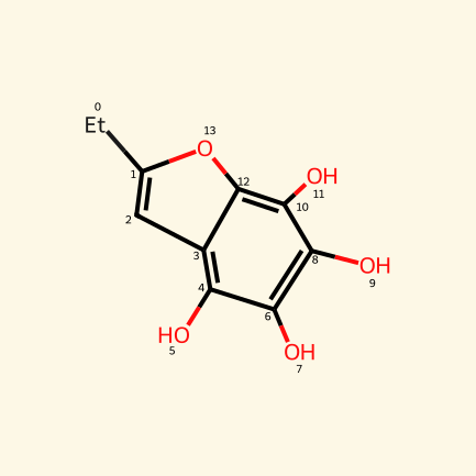 CCc1cc2c(O)c(O)c(O)c(O)c2o1